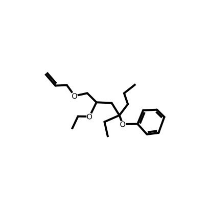 C=CCOCC(CC(CC)(CCC)Oc1ccccc1)OCC